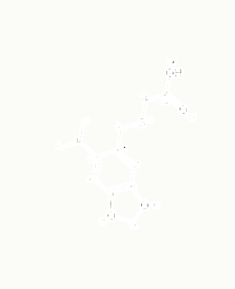 CC(C)c1cc2c(cc1CSCC(=O)O)OCO2